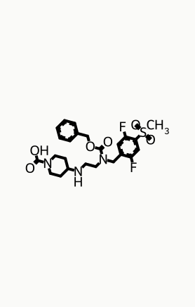 CS(=O)(=O)c1cc(F)c(CN(CCNC2CCN(C(=O)O)CC2)C(=O)OCc2ccccc2)cc1F